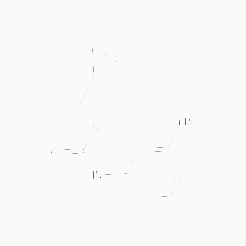 CCCc1c[c]cc(NC(=O)OCC2CC2)c1